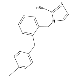 CCCCc1nccn1Cc1ccccc1Cc1ccc(C)cc1